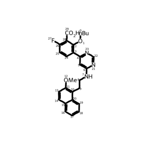 CCCCOc1c(-c2cc(NCCc3c(OC)ccc4ccccc34)ncn2)ccc(F)c1C(=O)O